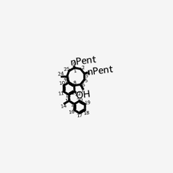 CCCCCC1CC(CCCCC)CC(C)c2c(ccc(C(C)c3ccccc3)c2O)C(C)C1